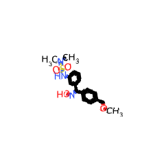 COCc1ccc(C(=NO)c2cccc(NS(=O)(=O)N(C)C)c2)cc1